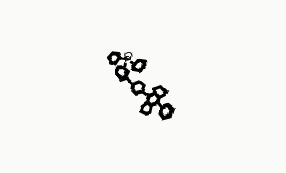 O=P(c1ccccc1)(c1ccccc1)c1cccc(C2=CC=C(c3c4ccccc4c(-c4ccccc4)c4ccccc34)CC2)c1